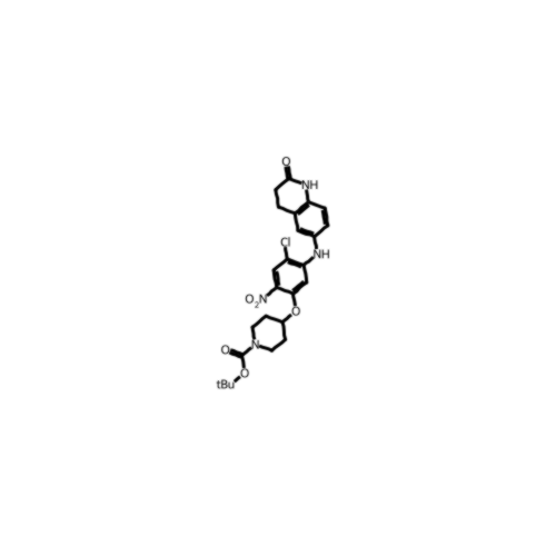 CC(C)(C)OC(=O)N1CCC(Oc2cc(Nc3ccc4c(c3)CCC(=O)N4)c(Cl)cc2[N+](=O)[O-])CC1